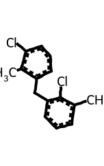 Cc1cccc(Cc2cccc(Cl)c2C)c1Cl